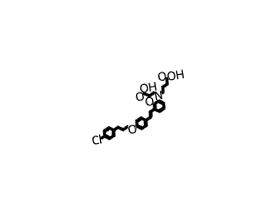 O=C(O)CCCN1CC(C(=O)O)Oc2c(C=Cc3ccc(OCCCc4ccc(Cl)cc4)cc3)cccc21